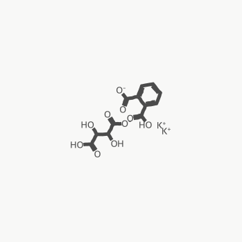 O=C([O-])C(O)C(O)C(=O)O.O=C([O-])c1ccccc1C(=O)O.[K+].[K+]